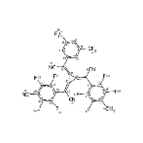 Cc1c(F)c(F)c(/C(C#N)=C2/C(=C(C#N)c3cc(C(F)(F)F)cc(C(F)(F)F)c3)/C2=C(/C#N)c2c(F)c(F)c(C#N)c(F)c2F)c(F)c1F